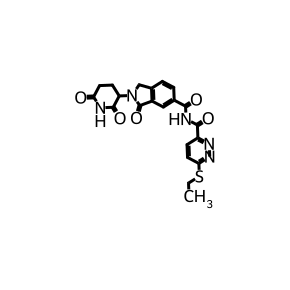 CCSc1ccc(C(=O)NC(=O)c2ccc3c(c2)C(=O)N(C2CCC(=O)NC2=O)C3)nn1